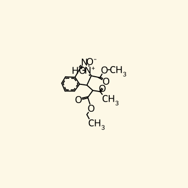 CCOC(=O)C(C(C)=O)C(C(C(=O)OC)=[N+]([O-])O)c1ccccc1C#N